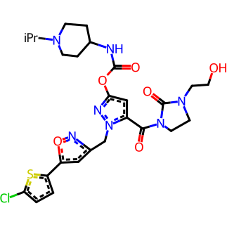 CC(C)N1CCC(NC(=O)Oc2cc(C(=O)N3CCN(CCO)C3=O)n(Cc3cc(-c4ccc(Cl)s4)on3)n2)CC1